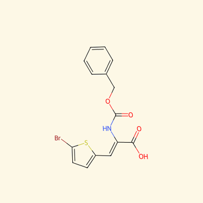 O=C(N/C(=C\c1ccc(Br)s1)C(=O)O)OCc1ccccc1